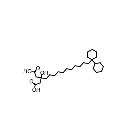 O=C(O)CC(O)(CCCCCCCCCCCC1(C2CCCCC2)CCCCC1)CC(=O)O